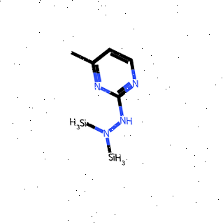 Cc1ccnc(NN([SiH3])[SiH3])n1